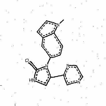 Cn1ccc2cc(-n3c(-c4cnccn4)c[nH]c3=O)ccc21